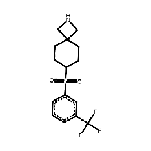 O=S(=O)(c1cccc(C(F)(F)F)c1)C1CCC2(CC1)CNC2